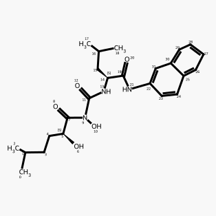 CC(C)CC[C@H](O)C(=O)N(O)C(=O)N[C@@H](CC(C)C)C(=O)Nc1ccc2ccccc2c1